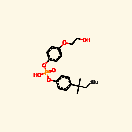 CC(C)(C)CC(C)(C)c1ccc(OP(=O)(O)Oc2ccc(OCCO)cc2)cc1